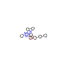 c1ccc(-c2ccc(-c3ccc4oc5ccc(-n6c7ccccc7c7cccc(-c8nc(-c9ccccc9)nc(-c9ccccc9)n8)c76)cc5c4c3)cc2)cc1